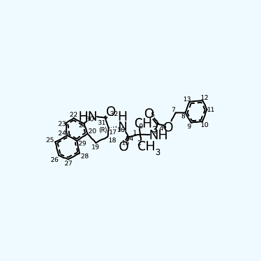 CC(C)(NC(=O)OCc1ccccc1)C(=O)N[C@@H]1CCc2c(ccc3ccccc23)NC1=O